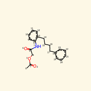 CC(=O)OCC(=O)Nc1ccccc1CCCCc1ccccc1